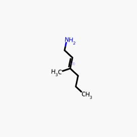 CCC/C(C)=C/CN